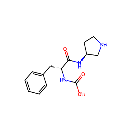 O=C(O)N[C@H](Cc1ccccc1)C(=O)N[C@H]1CCNC1